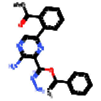 C=C(O/C(=N\N)c1nc(-c2ccccc2C(=O)OC)cnc1N)c1ccccc1